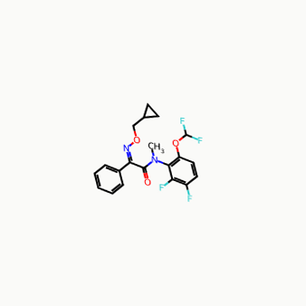 CN(C(=O)C(=NOCC1CC1)c1ccccc1)c1c(OC(F)F)ccc(F)c1F